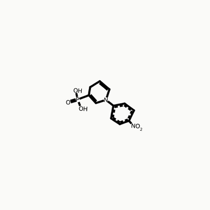 O=[N+]([O-])c1ccc(N2C=CCC(P(=O)(O)O)=C2)cc1